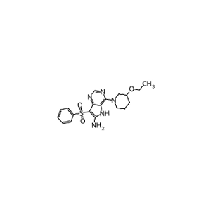 CCOC1CCCN(c2ncnc3c(S(=O)(=O)c4ccccc4)c(N)[nH]c23)C1